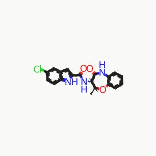 C[C@@H]1Oc2ccccc2NC(=O)[C@H]1NC(=O)c1cc2cc(Cl)ccc2[nH]1